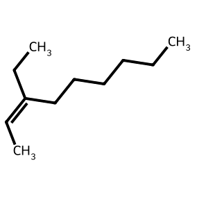 CC=C(CC)CCCCCC